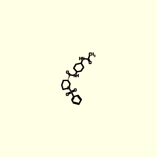 CC(=O)NC1CCC(NC(=O)[C@H]2CCCN(S(=O)(=O)c3ccccc3)C2)CC1